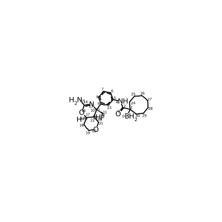 BC1(C(=O)Nc2cccc([C@@]3(CF)N=C(N)O[C@@H]4CCOC[C@@H]43)c2)CCCCCCC1